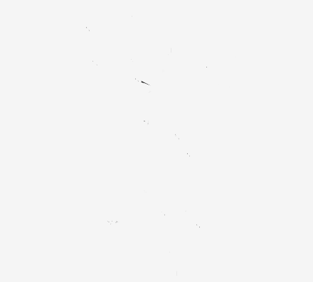 COC[C@H](c1cnn2cc([C@@H](NC(=O)c3nonc3C)[C@H](C)OC(C)(C)C(F)(F)F)nc2c1)N1CC(F)(F)CNC1=O